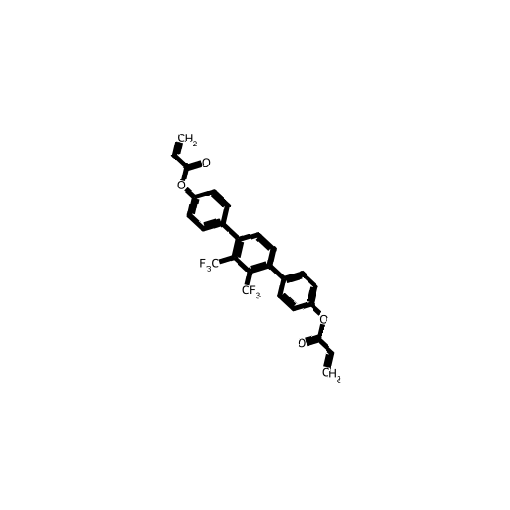 C=CC(=O)Oc1ccc(-c2ccc(-c3ccc(OC(=O)C=C)cc3)c(C(F)(F)F)c2C(F)(F)F)cc1